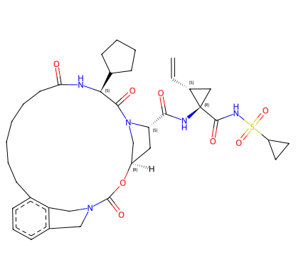 C=C[C@@H]1C[C@]1(NC(=O)[C@@H]1C[C@@H]2CN1C(=O)[C@H](C1CCCC1)NC(=O)CCCCCCc1cccc3c1CN(C3)C(=O)O2)C(=O)NS(=O)(=O)C1CC1